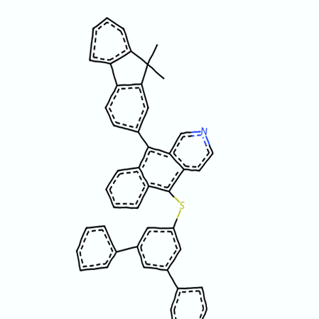 CC1(C)c2ccccc2-c2ccc(-c3c4ccccc4c(Sc4cc(-c5ccccc5)cc(-c5ccccc5)c4)c4ccncc34)cc21